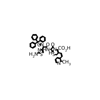 Cc1ncccc1/C=C\C1=C(C(=O)O)N2C(=O)[C@@H](NC(=O)/C(=N/OC(c3ccccc3)(c3ccccc3)c3ccccc3)c3csc(N)n3)[C@H]2SC1